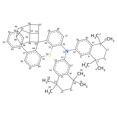 CC1(C)CCC(C)(C)c2cc(N(c3ccc4c(c3)C(C)(C)CCC4(C)C)c3cccc4c3Sc3cccc(-c5ccccc5)c3C43C4CC5CC6CC3C64C5)ccc21